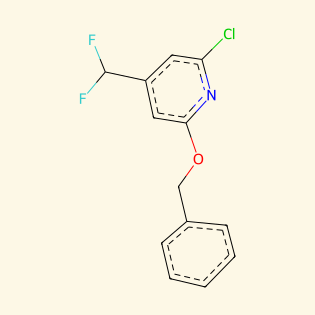 FC(F)c1cc(Cl)nc(OCc2ccccc2)c1